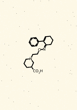 O=C(O)C1CCCN(CCON=C2CCCC=C2c2ccccc2)C1